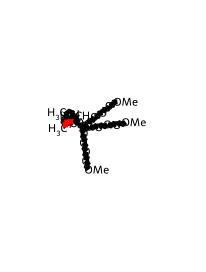 COCCOCCOCCOCCOCC(COCCOCCOCCOCCOC)(COCCOCCOCCOCCOC)COC1O[C@H]2O[C@@]3(C)CC[C@H]4[C@H](C)CC[C@@H]([C@H]1C)[C@@]24OO3